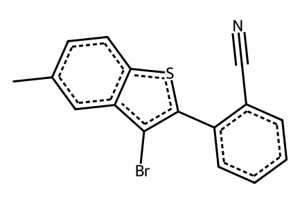 Cc1ccc2sc(-c3ccccc3C#N)c(Br)c2c1